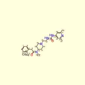 CCN(C(=O)Cc1ccccc1OC)C1CCN(CCNC(=O)Nc2cc(C)nc(C)c2)CC1